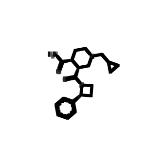 NC(=O)[C@H]1CCN(CC2CC2)C[C@H]1C(=O)N1CC[C@H]1c1ccccc1